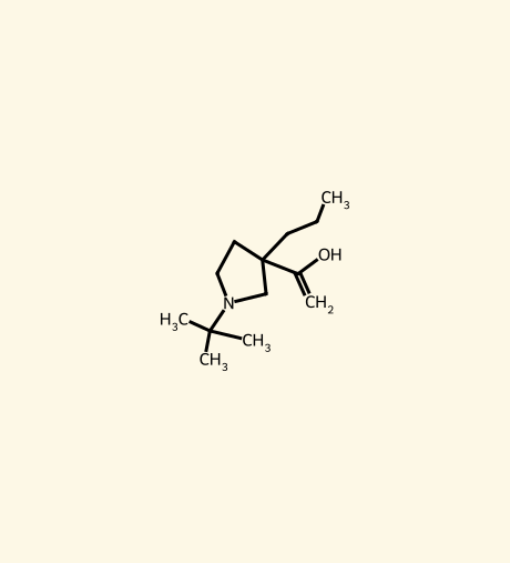 C=C(O)C1(CCC)CCN(C(C)(C)C)C1